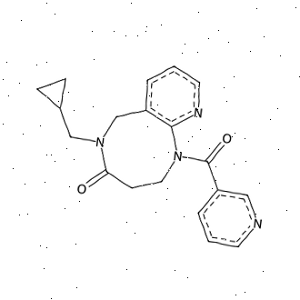 O=C1CCN(C(=O)c2cccnc2)c2ncccc2CN1CC1CC1